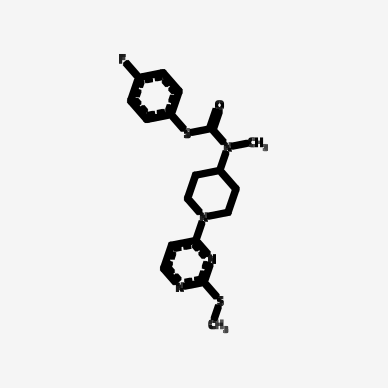 CSc1nccc(N2CCC(N(C)C(=O)Sc3ccc(F)cc3)CC2)n1